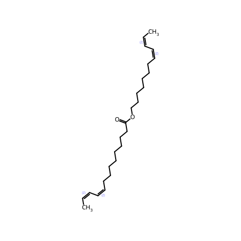 C/C=C\C=C/CCCCCCCCC(=O)OCCCCCCC/C=C\C=C/C